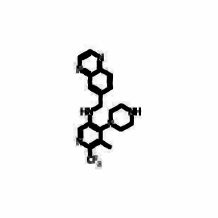 Cc1c(C(F)(F)F)ncc(NCc2ccc3nccnc3c2)c1N1CCNCC1